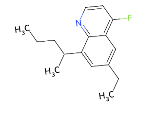 CCCC(C)c1cc(CC)cc2c(F)ccnc12